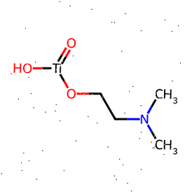 CN(C)CC[O][Ti](=[O])[OH]